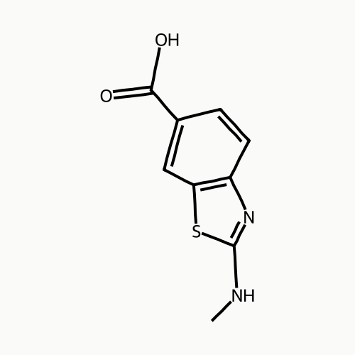 CNc1nc2ccc(C(=O)O)cc2s1